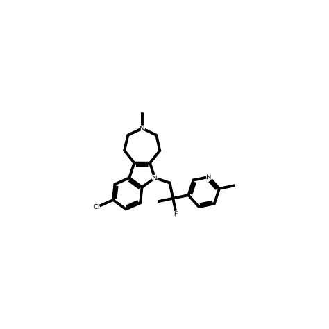 Cc1ccc(C(C)(F)Cn2c3c(c4cc(Cl)ccc42)CCN(C)CC3)cn1